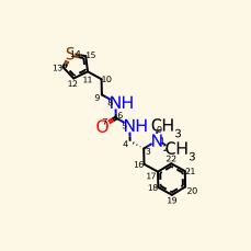 CN(C)[C@@H](CNC(=O)NCCc1ccsc1)Cc1ccccc1